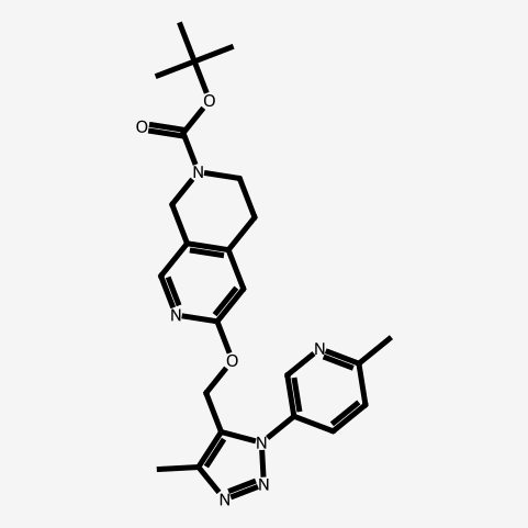 Cc1ccc(-n2nnc(C)c2COc2cc3c(cn2)CN(C(=O)OC(C)(C)C)CC3)cn1